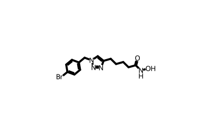 O=C(CCCCc1cn(Cc2ccc(Br)cc2)nn1)NO